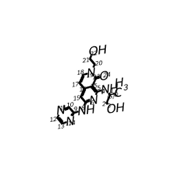 C[C@@H](CO)Nc1nc(Nc2cnccn2)cc2ccn(CCO)c(=O)c12